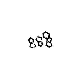 C1=NCc2cc3ccccc3n21.C1=NCc2cccn21.c1cc2n(c1)COC2